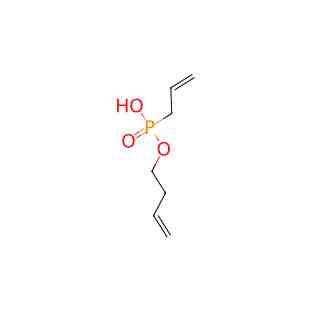 C=CCCOP(=O)(O)CC=C